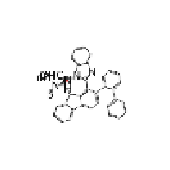 CCC[N+](=S)C(=O)C1c2ccccc2-c2ccc(-c3ccccc3-c3ccccc3)c(-c3nc4ccccc4n3NC=O)c21